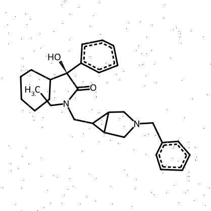 CCN(CC1C2CN(Cc3ccccc3)CC21)C(=O)[C@@](O)(c1ccccc1)C1CCCCC1